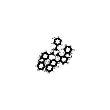 c1ccc(-c2nc(-c3ccc4sc5ccccc5c4c3)nc(-c3c(-c4ccc5ccccc5c4)ccc4oc5ccccc5c34)n2)cc1